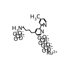 Cc1ccnc(-c2cc(CCCC[NH3+])ccn2)c1.[O-][Cl+3]([O-])([O-])[O-].[O-][Cl+3]([O-])([O-])[O-].[O-][Cl+3]([O-])([O-])[O-].[Ru+2]